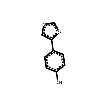 N#Cc1ccc(-c2cnco2)cc1